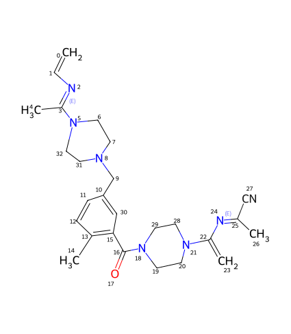 C=C/N=C(\C)N1CCN(Cc2ccc(C)c(C(=O)N3CCN(C(=C)/N=C(\C)C#N)CC3)c2)CC1